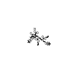 C=CCOC(=O)N(CCO[Si](C)(C)C(C)(C)C)CCN(CC1=C(C(=O)O)N2C(=O)[C@H]([C@@H](C)O[Si](C)(C)C(C)(C)C)[C@H]2C1)C(=O)OCC=C